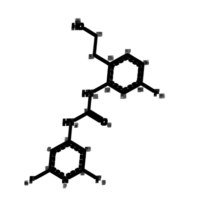 O=C(Nc1cc(F)nc(F)c1)Nc1cc(F)ccc1CCO